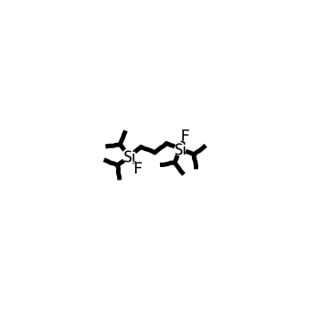 CC(C)[Si](F)(CCC[Si](F)(C(C)C)C(C)C)C(C)C